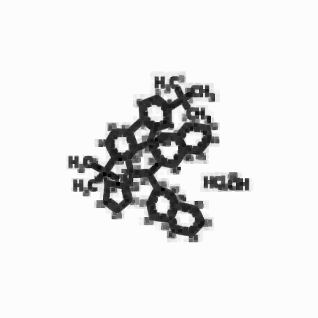 CC(C)(C)c1ccc2c(c1)Cc1c-2ccc(C(C)(C)C)[c]1[Zr]([C]1=CC=CC1)=[C](c1ccc2ccccc2c1)c1ccc2ccccc2c1.Cl.Cl